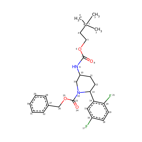 C[Si](C)(C)CCOC(=O)NC1CCC(c2cc(F)ccc2F)N(C(=O)OCc2ccccc2)C1